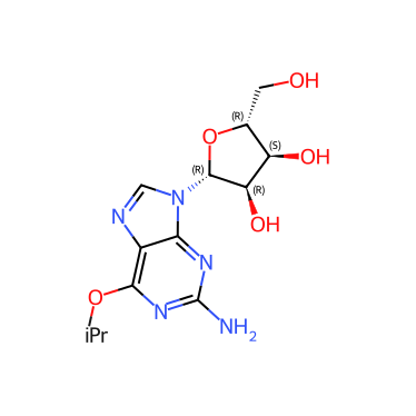 CC(C)Oc1nc(N)nc2c1ncn2[C@@H]1O[C@H](CO)[C@@H](O)[C@H]1O